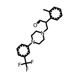 Cc1ccccc1C(C=O)CN1CCN(c2cccc(C(F)(F)F)c2)CC1